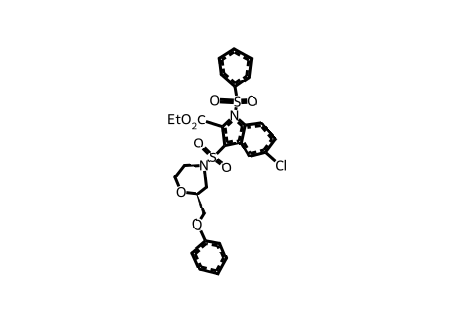 CCOC(=O)c1c(S(=O)(=O)N2CCO[C@H](COc3ccccc3)C2)c2cc(Cl)ccc2n1S(=O)(=O)c1ccccc1